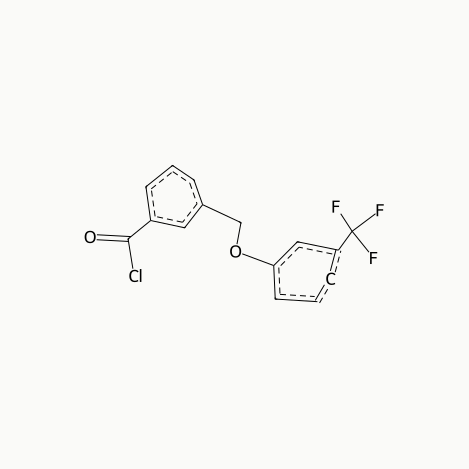 O=C(Cl)c1cccc(COc2cccc(C(F)(F)F)c2)c1